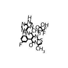 Cc1csc2nc(C(C)Nc3ncnc4[nH]cnc34)c(-c3cccc(F)c3)c(=O)n12.O=C(O)C(F)(F)F